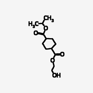 CC(C)OC(=O)C1CCC(C(=O)OCCO)CC1